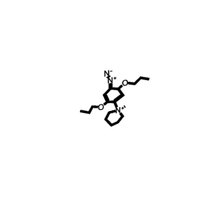 CCCOC1=CC(=[N+]=[N-])C(OCCC)C=C1[N+]1(C)CCCCC1